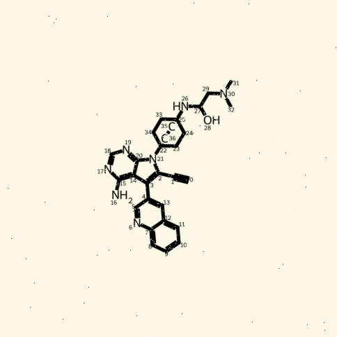 C#Cc1c(-c2cnc3ccccc3c2)c2c(N)ncnc2n1C12CCC(NC(O)CN(C)C)(CC1)CC2